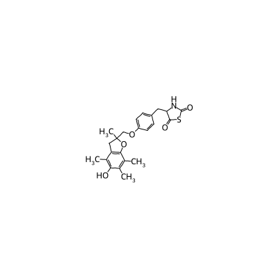 Cc1c(C)c2c(c(C)c1O)CC(C)(COc1ccc(CC3NC(=O)SC3=O)cc1)O2